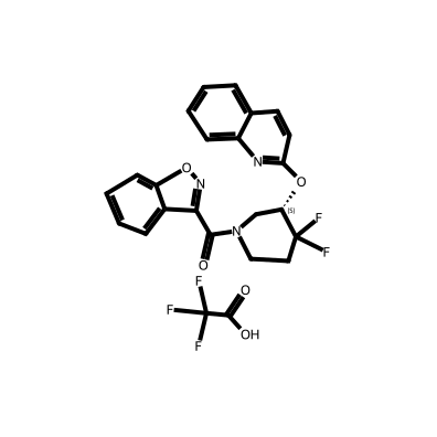 O=C(O)C(F)(F)F.O=C(c1noc2ccccc12)N1CCC(F)(F)[C@@H](Oc2ccc3ccccc3n2)C1